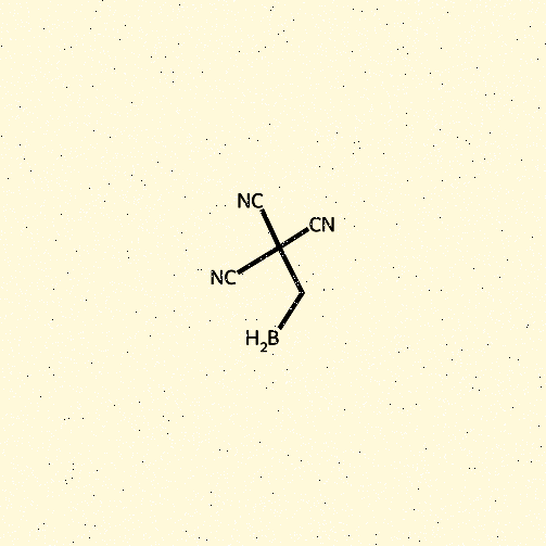 BCC(C#N)(C#N)C#N